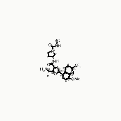 CCNC(=O)N1CC[C@@H](NC(=O)c2nc(-c3ccc(OC)c4nc(C(F)(F)F)ccc34)oc2[C@H](C)N)C1